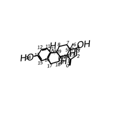 C=C1C[C@@H](O)[C@@]2(C)CC[C@@H]3c4ccc(O)cc4CC[C@H]3[C@H]12